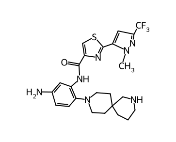 Cn1nc(C(F)(F)F)cc1-c1nc(C(=O)Nc2cc(N)ccc2N2CCC3(CCCNC3)CC2)cs1